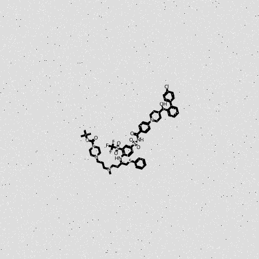 CN(CCCN1CCN(C(=O)OC(C)(C)C)CC1)CCC(CSc1ccccc1)Nc1ccc(S(=O)(=O)NC(=O)c2ccc(N3CCC([C@@H](O)c4ccccc4-c4ccc(Cl)cc4)CC3)cc2)cc1S(=O)(=O)C(F)(F)F